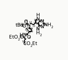 CCOC(=O)CC[C@H](NC(=O)c1ccc(N(CCc2c[nH]c3nc(N)nc(N)c23)C(=O)OC(C)(C)C)s1)C(=O)OCC